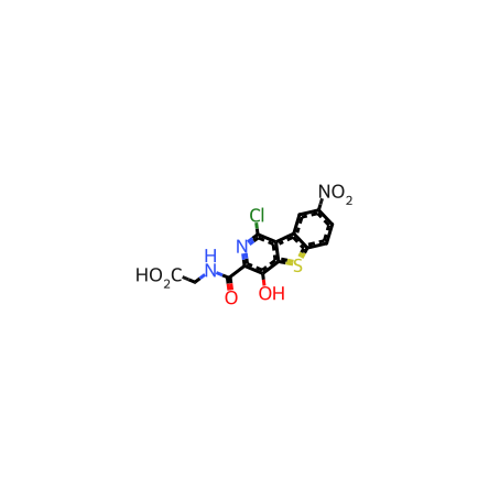 O=C(O)CNC(=O)c1nc(Cl)c2c(sc3ccc([N+](=O)[O-])cc32)c1O